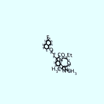 CCOC(=O)c1c(CCCOc2cccc3cc(F)ccc23)c2cccc3c2n1CCCOCc1c-3c(C)nn1C